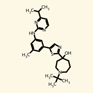 Cc1cc(Nc2nccc(C(C)C)n2)cc(-c2cnc(C3(O)CCCN(C(C)(C)C)CC3)s2)c1